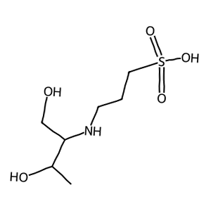 CC(O)C(CO)NCCCS(=O)(=O)O